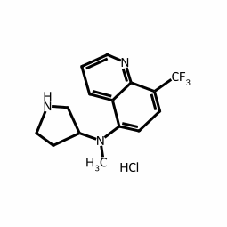 CN(c1ccc(C(F)(F)F)c2ncccc12)C1CCNC1.Cl